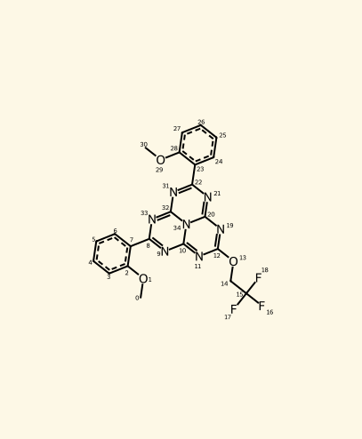 COc1ccccc1C1=NC2=NC(OCC(F)(F)F)=NC3=NC(c4ccccc4OC)=NC(=N1)N23